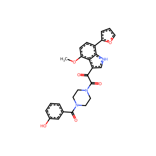 COc1ccc(-c2ccco2)c2[nH]cc(C(=O)C(=O)N3CCN(C(=O)c4cccc(O)c4)CC3)c12